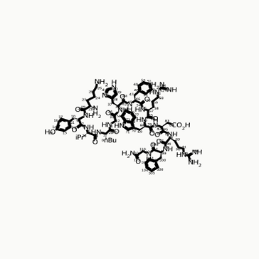 CCCC[C@H](NC(=O)[C@@H](NC(=O)[C@H](Cc1ccc(O)cc1)NC(=O)[C@@H](N)CCCCN)C(C)C)C(=O)NCC(=O)N[C@@H](Cc1c[nH]cn1)C(=O)N[C@@H](Cc1ccccc1)C(=O)N[C@@H](CCCNC(=N)N)C(=O)N[C@H](Cc1c[nH]c2ccccc12)C(=O)N[C@@H](CC(=O)O)C(=O)N[C@@H](CCCNC(=N)N)C(=O)N[C@@H](Cc1ccccc1)C(=O)NCC(N)=O